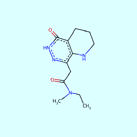 CCN(C)C(=O)Cc1n[nH]c(=O)c2c1NCCC2